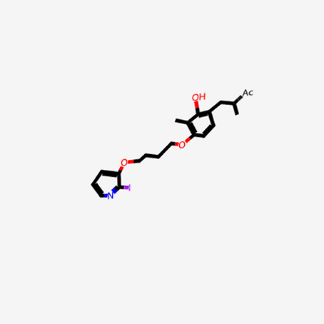 CC(=O)C(C)Cc1ccc(OCCCCOc2cccnc2I)c(C)c1O